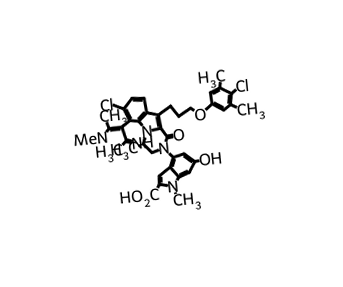 CN/C(C)=C(\C(C)=N)c1c(Cl)ccc2c(CCCOc3cc(C)c(Cl)c(C)c3)c3n(c12)[C@H](C)CN(c1cc(O)cc2c1cc(C(=O)O)n2C)C3=O